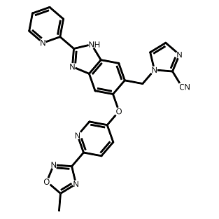 Cc1nc(-c2ccc(Oc3cc4nc(-c5ccccn5)[nH]c4cc3Cn3ccnc3C#N)cn2)no1